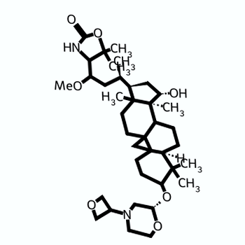 COC(C[C@@H](C)[C@H]1C[C@H](O)[C@@]2(C)C3CC[C@H]4C(C)(C)C(O[C@H]5CN(C6COC6)CCO5)CCC45CC35CCC12C)C1NC(=O)OC1(C)C